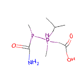 CC(C)[PH](C)(C(=O)O)P(C)C(N)=O